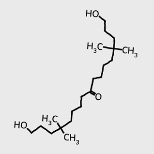 CC(C)(CCCO)CCCCC(=O)CCCCC(C)(C)CCCO